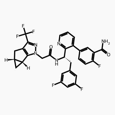 NC(=O)c1cc(-c2cccnc2[C@H](Cc2cc(F)cc(F)c2)NC(=O)Cn2nc(C(F)(F)F)c3c2[C@@H]2C[C@@H]2C3)ccc1F